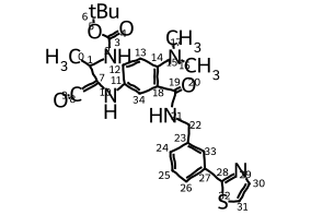 CC(NC(=O)OC(C)(C)C)C(=C=O)Nc1ccc(N(C)C)c(C(=O)NCc2cccc(-c3nccs3)c2)c1